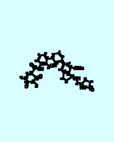 COc1nc(-c2cccc(-c3cccc(NC(=O)c4cn(C)c(=O)n(C)c4=O)c3C)c2Cl)cc2c1[C@H](NCC1CCC(=O)N1)CC2